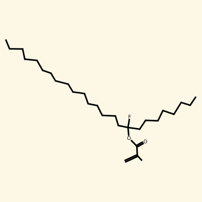 C=C(C)C(=O)OC(F)(CCCCCCCC)CCCCCCCCCCCCCCCC